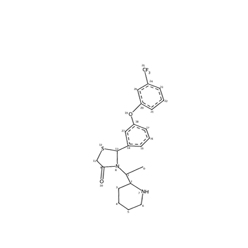 CC(C1CCCCN1)N1C(=O)CSC1c1cccc(Oc2cccc(C(F)(F)F)c2)c1